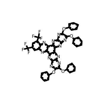 FC(F)(F)c1cc(C(F)(F)F)c2nc3c(nc2c1)c1nc2nc(Oc4ccccc4)c(Oc4ccccc4)nc2nc1c1nc2nc(Oc4ccccc4)c(Oc4ccccc4)nc2nc13